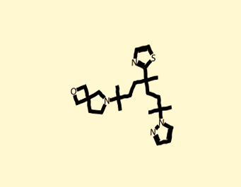 CC(CCC(C)(C)N1CCC2(COC2)C1)(CCC(C)(C)n1cccn1)c1nccs1